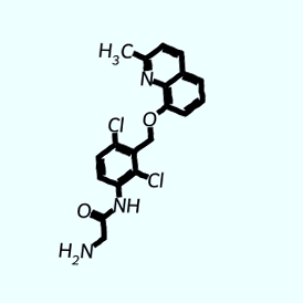 Cc1ccc2cccc(OCc3c(Cl)ccc(NC(=O)CN)c3Cl)c2n1